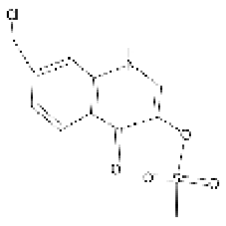 CS(=O)(=O)Oc1c[nH]c2cc(CCl)ccc2c1=O